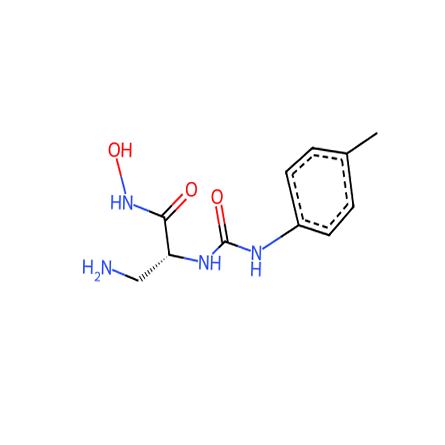 Cc1ccc(NC(=O)N[C@H](CN)C(=O)NO)cc1